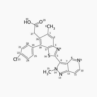 Cc1cc2nc(-c3c4cnccc4nn3C)sc2c(-c2ccc(Cl)cc2)c1CC(=O)O